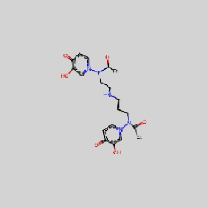 CCC(=O)N(CCCNCCN(C(=O)CC)n1ccc(=O)c(O)c1)n1ccc(=O)c(O)c1